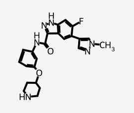 Cn1cc(-c2cc3c(C(=O)Nc4cccc(OC5CCNCC5)c4)n[nH]c3cc2F)cn1